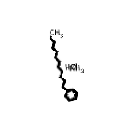 CCCCCCCCCCCCc1ccccc1.Cl.N